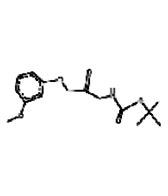 COc1cccc(OCC(=O)CNC(=O)OC(C)(C)C)c1